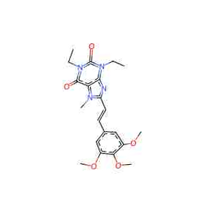 CCn1c(=O)c2c(nc(C=Cc3cc(OC)c(OC)c(OC)c3)n2C)n(CC)c1=O